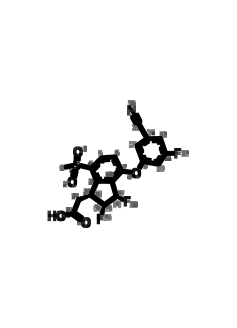 CS(=O)(=O)c1ccc(Oc2cc(F)cc(C#N)c2)c2c1[C@H](CC(=O)O)[C@H](F)[C@@H]2F